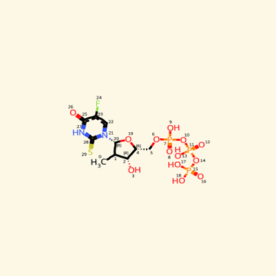 CC1[C@@H](O)[C@@H](COP(=O)(O)OP(=O)(O)OP(=O)(O)O)O[C@H]1n1cc(F)c(=O)[nH]c1=S